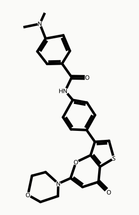 CN(C)c1ccc(C(=O)Nc2ccc(-c3csc4c(=O)cc(N5CCOCC5)oc34)cc2)cc1